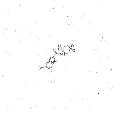 CC1(NC(=O)c2cc3cc(Br)ccn3n2)CCS(=O)(=O)CC1